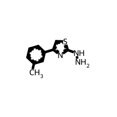 Cc1cccc(-c2csc(NN)n2)c1